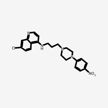 O=[N+]([O-])c1ccc(N2CCN(CCCNc3ccnc4cc(Cl)ccc34)CC2)cc1